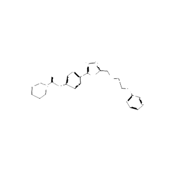 O=C(Nc1ccc(-c2nnc(CSCCOc3ccccc3)o2)cc1)N1CCCCC1